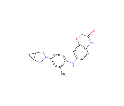 Cc1cc(N2CC3CC3C2)ccc1Nc1ccc2c(c1)OCC(=O)N2